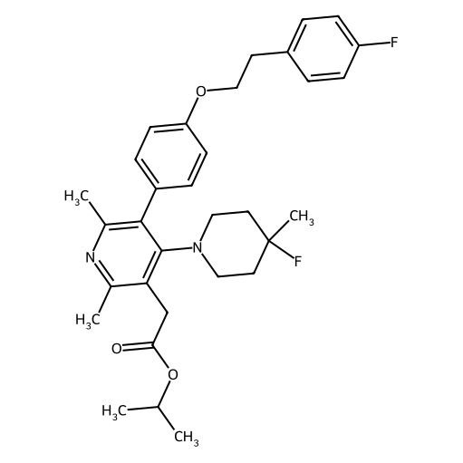 Cc1nc(C)c(-c2ccc(OCCc3ccc(F)cc3)cc2)c(N2CCC(C)(F)CC2)c1CC(=O)OC(C)C